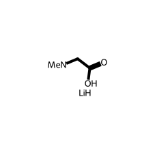 CNCC(=O)O.[LiH]